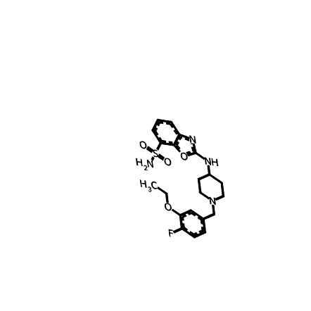 CCOc1cc(CN2CCC(Nc3nc4cccc(S(N)(=O)=O)c4o3)CC2)ccc1F